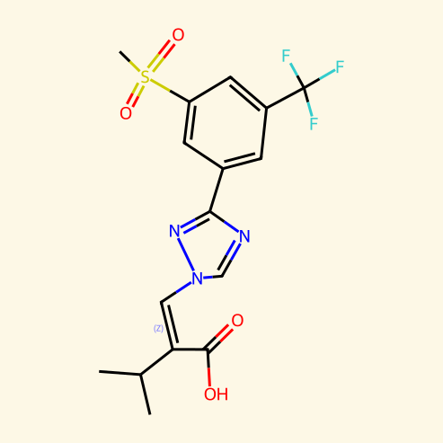 CC(C)/C(=C/n1cnc(-c2cc(C(F)(F)F)cc(S(C)(=O)=O)c2)n1)C(=O)O